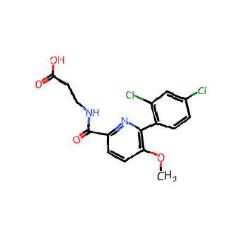 COc1ccc(C(=O)NCCC(=O)O)nc1-c1ccc(Cl)cc1Cl